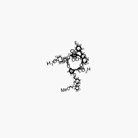 COCCOC1(c2nccc(COc3ccc4cc3C[C@H](C(=O)O)Oc3ncnc5sc(-c6ccc(F)cc6)c(c35)-c3c(C)c(Cl)c(c(Cl)c3C)O[C@H](CN3CCN(C)CC3)CO4)n2)CCCC1